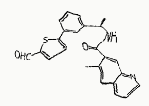 Cc1cc2cccnc2cc1C(=O)N[C@H](C)c1cccc(-c2ccc(C=O)s2)c1